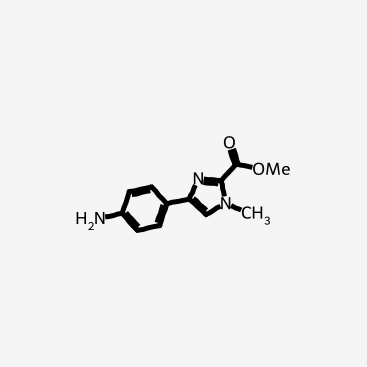 COC(=O)c1nc(-c2ccc(N)cc2)cn1C